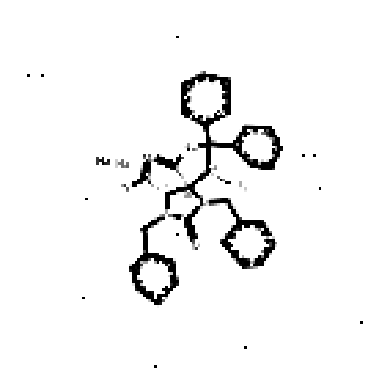 C[C@@H](C(O)(c1ccccc1)c1ccccc1)[C@]1(C(=O)[O-])[C@@H](C(=O)[O-])N(Cc2ccccc2)C(=O)N1Cc1ccccc1.[Na+].[Na+]